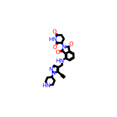 C#Cc1c(CNc2cccc3c2C(=O)N(C2CCC(=O)NC2=O)C3=O)cnn1C1CCNCC1